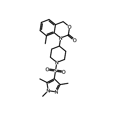 Cc1cccc2c1N(C1CCN(S(=O)(=O)c3c(C)nn(C)c3C)CC1)C(=O)OC2